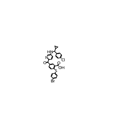 O=C(c1ccc(Sc2ccc(Br)cc2)c(C(=O)O)c1)c1ccc(NC(c2ccc(Cl)cc2)C2CC2)cn1